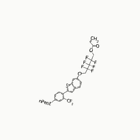 C=CC(=O)OCC(F)(F)C(F)(F)C(F)(F)COc1ccc2cc(-c3ccc(CCCCC)cc3C(F)(F)F)sc2c1